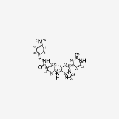 CN(C)c1ccc(CNC(=O)c2ccc(Nc3ccc(-c4cc[nH]c(=O)c4)n4ccnc34)cc2)cc1